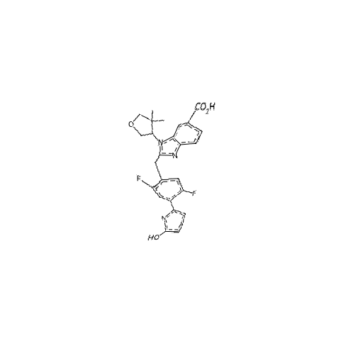 CC1(C)COCC1n1c(Cc2cc(F)c(-c3cccc(O)n3)cc2F)nc2ccc(C(=O)O)cc21